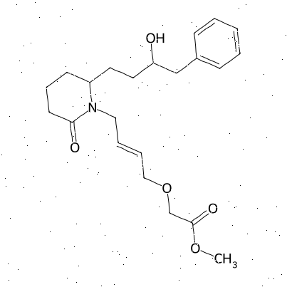 COC(=O)COCC=CCN1C(=O)CCCC1CCC(O)Cc1ccccc1